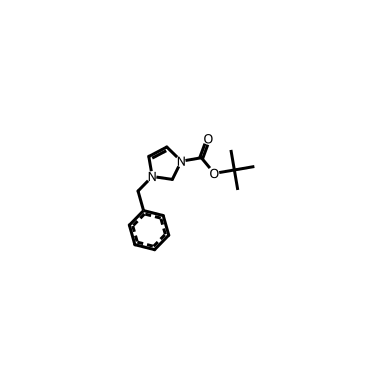 CC(C)(C)OC(=O)N1C=CN(Cc2ccccc2)C1